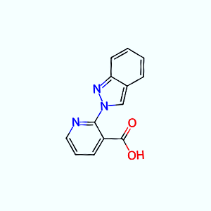 O=C(O)c1cccnc1-n1cc2ccccc2n1